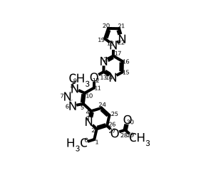 CCc1nc(-c2nnn(C)c2COc2nccc(-n3cccn3)n2)ccc1OC(C)=O